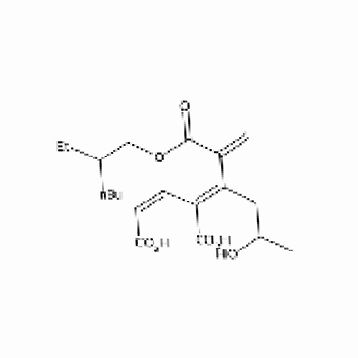 C=C(C(=O)OCC(CC)CCCC)C(CC(C)O)=C(C=CC(=O)O)C(=O)O